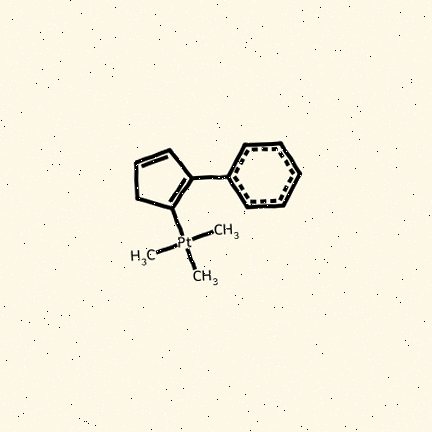 [CH3][Pt]([CH3])([CH3])[C]1=C(c2ccccc2)C=CC1